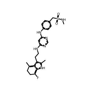 CNS(=O)(=O)Cc1ccc(Nc2cc(NCCc3c(C)[nH]c4c3=C(C)CCC=4F)ncn2)cc1